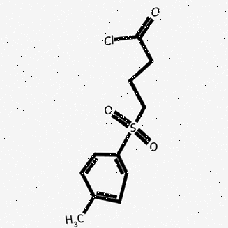 Cc1ccc(S(=O)(=O)CCCC(=O)Cl)cc1